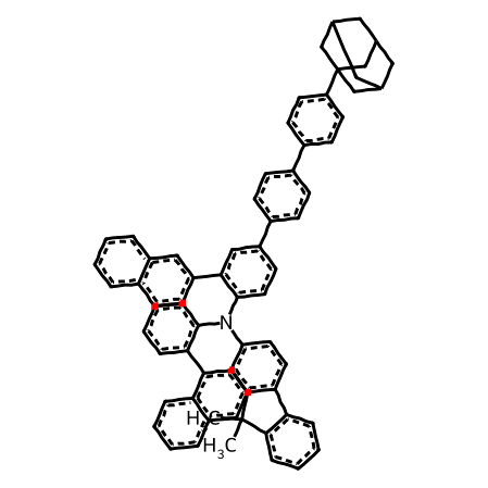 CC1(C)c2ccccc2-c2ccc(N(c3ccc(-c4ccc(-c5ccc(C67CC8CC(CC(C8)C6)C7)cc5)cc4)cc3-c3ccc4ccccc4c3)c3ccccc3-c3cccc4ccccc34)cc21